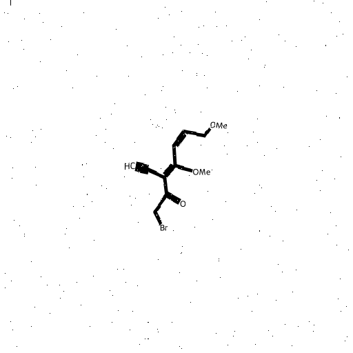 C#C/C(C(=O)CBr)=C(\C=C/COC)OC